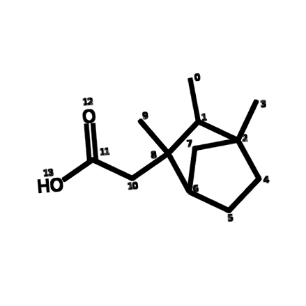 CC1C2(C)CCC(C2)C1(C)CC(=O)O